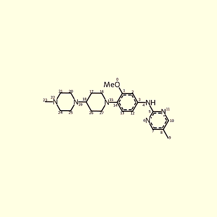 COc1cc(Nc2ncc(C)cn2)ccc1N1CCC(N2CCN(C)CC2)CC1